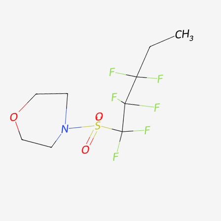 CCC(F)(F)C(F)(F)C(F)(F)S(=O)(=O)N1CCOCC1